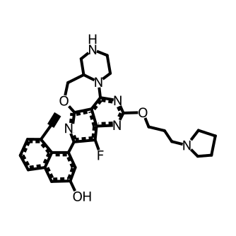 C#Cc1cccc2cc(O)cc(-c3nc4c5c(nc(OCCCN6CCCC6)nc5c3F)N3CCNCC3CO4)c12